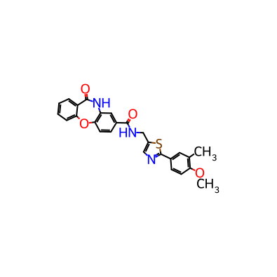 COc1ccc(-c2ncc(CNC(=O)c3ccc4c(c3)NC(=O)c3ccccc3O4)s2)cc1C